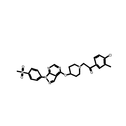 Cc1cc(C(=O)CN2CCC(Oc3ncnc4c3cnn4-c3ccc(S(C)(=O)=O)cc3)CC2)ccc1Cl